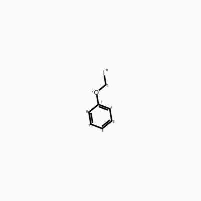 ICOc1ccccc1